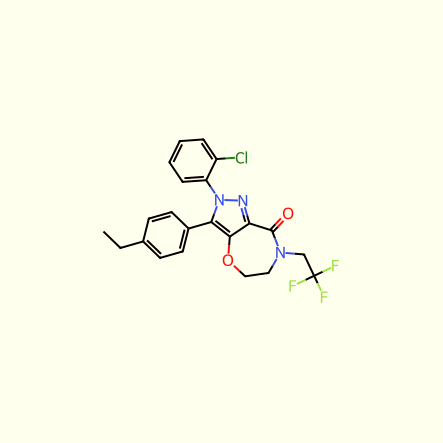 CCc1ccc(-c2c3c(nn2-c2ccccc2Cl)C(=O)N(CC(F)(F)F)CCO3)cc1